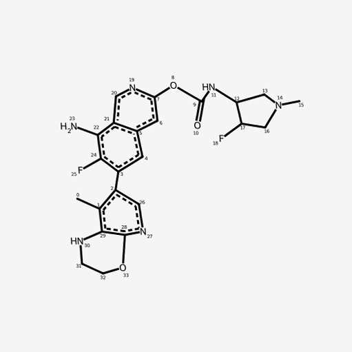 Cc1c(-c2cc3cc(OC(=O)NC4CN(C)CC4F)ncc3c(N)c2F)cnc2c1NCCO2